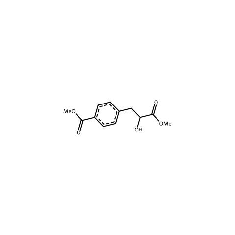 COC(=O)c1ccc(CC(O)C(=O)OC)cc1